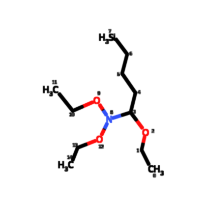 CCOC(CCC[SiH3])N(OCC)OCC